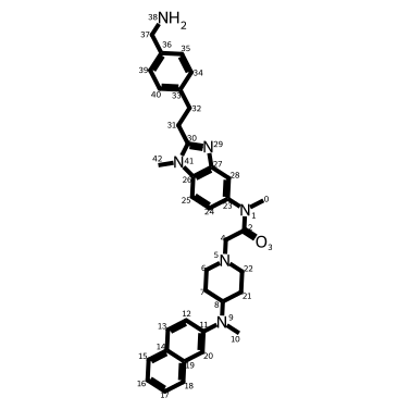 CN(C(=O)CN1CCC(N(C)c2ccc3ccccc3c2)CC1)c1ccc2c(c1)nc(CCc1ccc(CN)cc1)n2C